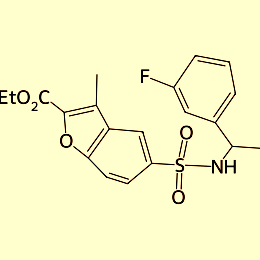 CCOC(=O)c1oc2ccc(S(=O)(=O)NC(C)c3cccc(F)c3)cc2c1C